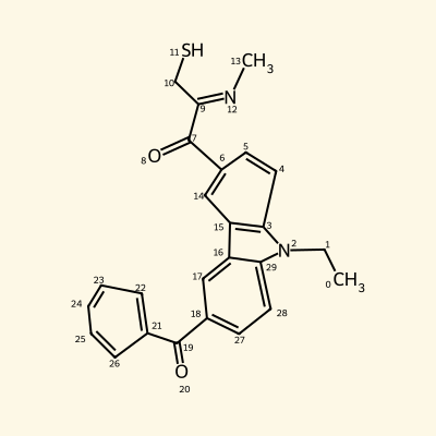 CCn1c2ccc(C(=O)C(CS)=NC)cc2c2cc(C(=O)c3ccccc3)ccc21